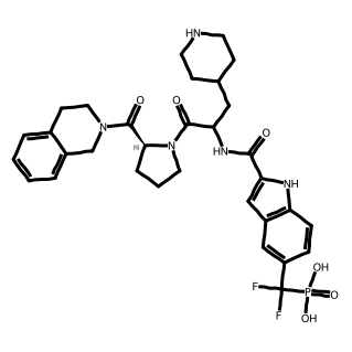 O=C(NC(CC1CCNCC1)C(=O)N1CCC[C@H]1C(=O)N1CCc2ccccc2C1)c1cc2cc(C(F)(F)P(=O)(O)O)ccc2[nH]1